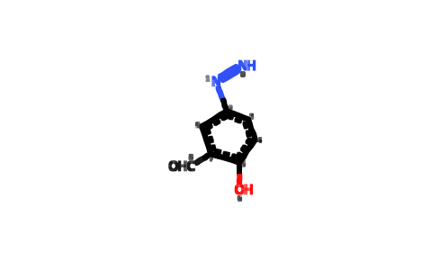 N=Nc1ccc(O)c(C=O)c1